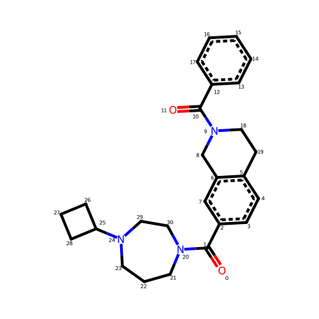 O=C(c1ccc2c(c1)CN(C(=O)c1ccccc1)CC2)N1CCCN(C2CCC2)CC1